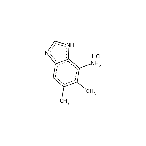 Cc1cc2nc[nH]c2c(N)c1C.Cl